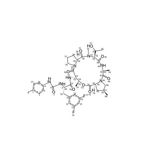 Cc1ccc(NC(=O)N[C@@H](Cc2cc(F)cc(F)c2)C(=O)N[C@@H]2C(=O)N3CCC[C@H]3C(=O)N(C)[C@@H](C(C)O)C(=O)N[C@@H](C)C(=O)N3C[C@@H](C)C[C@H]3C(=O)O[C@H]2C)cc1